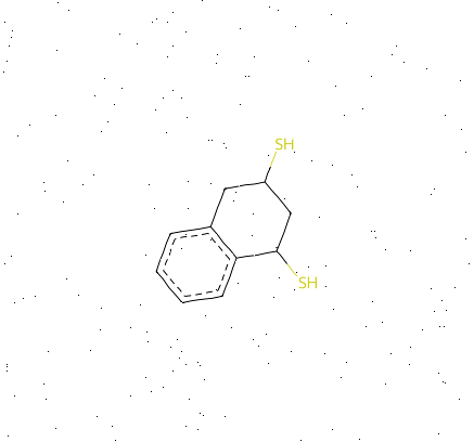 S[C]1CC(S)Cc2ccccc21